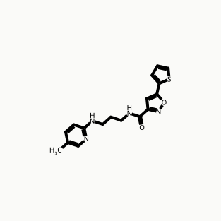 Cc1ccc(NCCCNC(=O)c2cc(-c3cccs3)on2)nc1